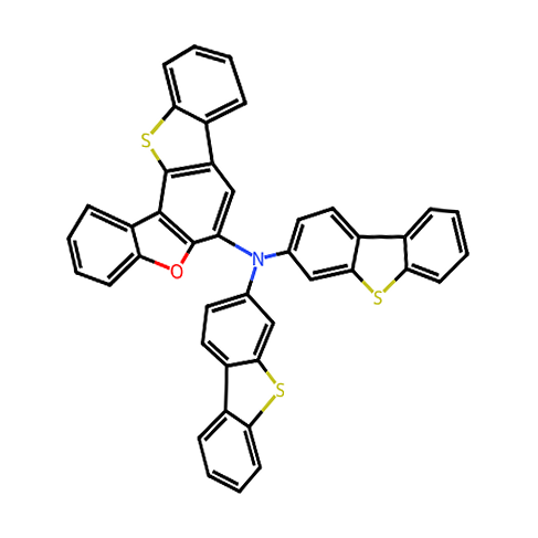 c1ccc2c(c1)oc1c(N(c3ccc4c(c3)sc3ccccc34)c3ccc4c(c3)sc3ccccc34)cc3c4ccccc4sc3c12